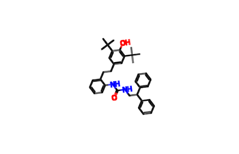 CC(C)(C)c1cc(CCc2ccccc2NC(=O)NCC(c2ccccc2)c2ccccc2)cc(C(C)(C)C)c1O